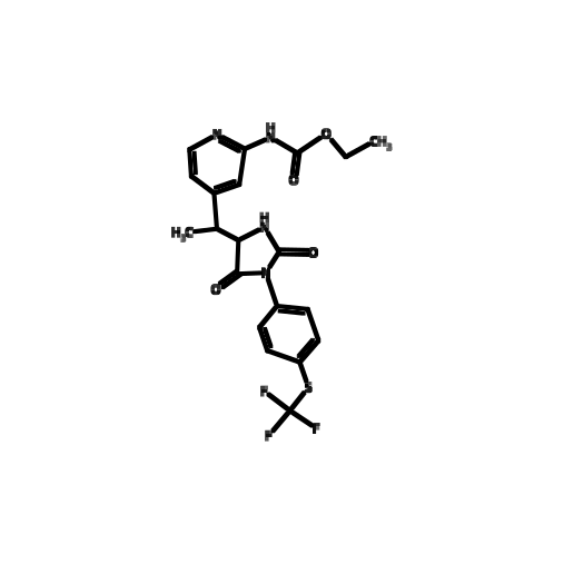 CCOC(=O)Nc1cc(C(C)C2NC(=O)N(c3ccc(SC(F)(F)F)cc3)C2=O)ccn1